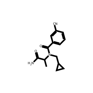 CC(C(N)=O)N(CC1CC1)C(=O)c1cccc(C#N)c1